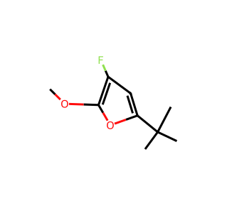 COc1oc(C(C)(C)C)cc1F